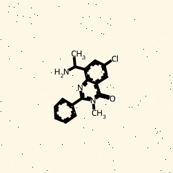 CC(N)c1cc(Cl)cc2c(=O)n(C)c(-c3ccccc3)nc12